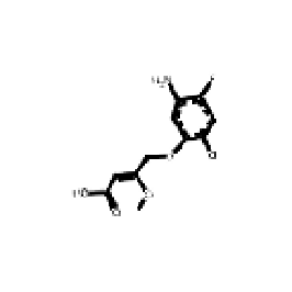 COC(=CC(=O)O)COc1cc(N)c(F)cc1Cl